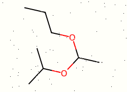 [CH2]C(OCCC)OC(C)C